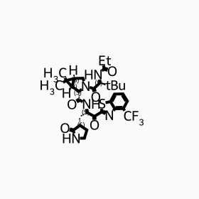 CCC(=O)N[C@H](C(=O)N1C[C@H]2[C@@H]([C@H]1C(=O)N[C@@H](C[C@@H]1CCNC1=O)C(=O)c1nc3c(C(F)(F)F)cccc3s1)C2(C)C)C(C)(C)C